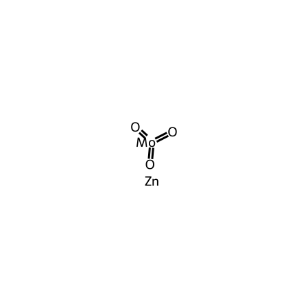 [O]=[Mo](=[O])=[O].[Zn]